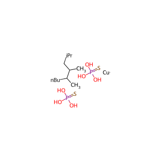 CCCCC(C)C(C)CC(C)C.OP(O)(O)=S.OP(O)(O)=S.[Cu]